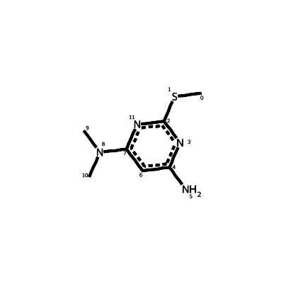 CSc1nc(N)cc(N(C)C)n1